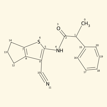 CC(C(=O)Nc1sc2c(c1C#N)CCC2)c1ccccc1